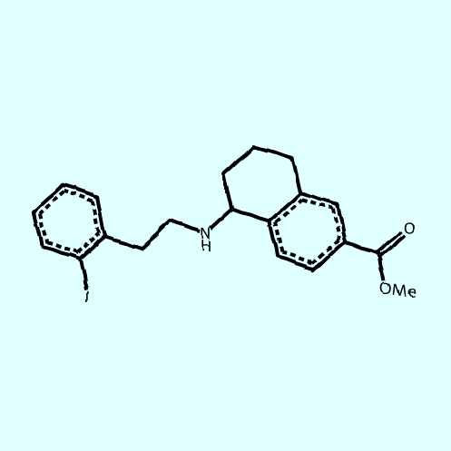 COC(=O)c1ccc2c(c1)CCCC2NCCc1ccccc1I